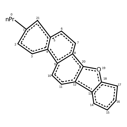 CCCc1ccc2c(ccc3c2ccc2c4ccccc4oc23)c1